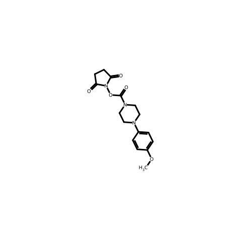 COc1ccc(N2CCN(C(=O)ON3C(=O)CCC3=O)CC2)cc1